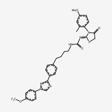 COc1ccc(N2C(=O)CS/C2=N\C(=O)NCCCCc2ccc(-c3ncn(-c4ccc(OC(F)(F)F)cc4)n3)cc2)c(C)c1